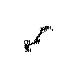 CC[C@@H]1C[C@H](O)CN1C(=O)CCCn1cc(CCCCCOP(=O)(S)OC)nn1